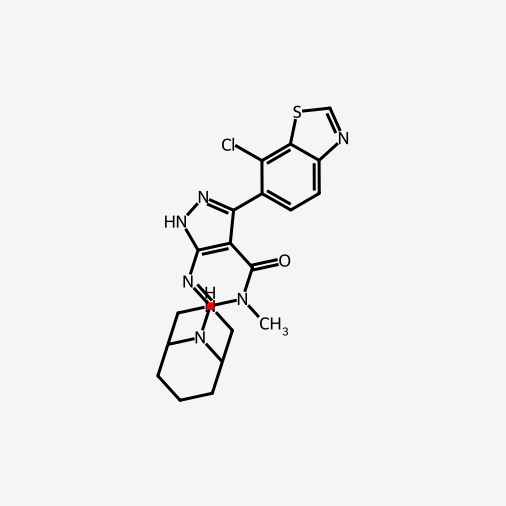 Cn1c(N2C3CCCC2CNC3)nc2[nH]nc(-c3ccc4ncsc4c3Cl)c2c1=O